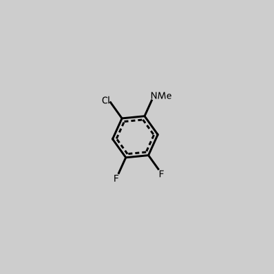 CNc1cc(F)c(F)cc1Cl